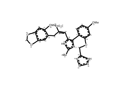 CCCCc1nc(-c2ccc(OC)cc2OCc2nnn[nH]2)c(/C=C(\Cc2cc3c(cc2OC)OCO3)C(=O)OCC)[nH]1